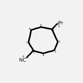 CC(C)C1CCCC(C#N)CCC1